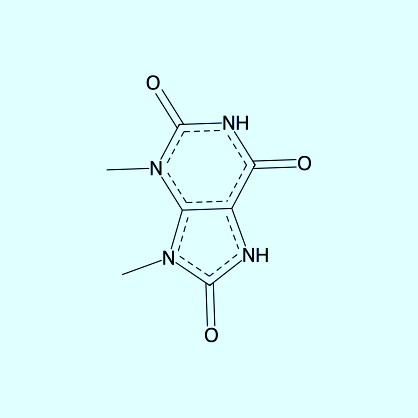 Cn1c(=O)[nH]c(=O)c2[nH]c(=O)n(C)c21